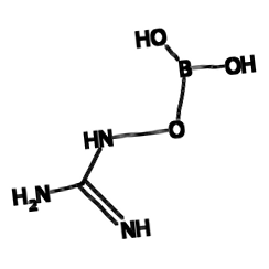 N=C(N)NOB(O)O